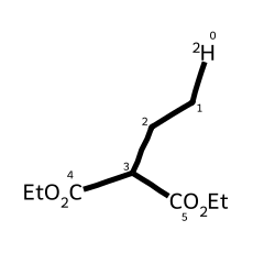 [2H]CCC(C(=O)OCC)C(=O)OCC